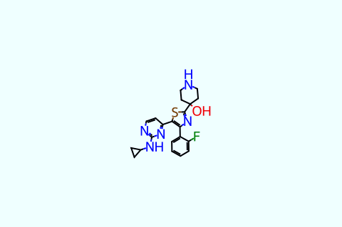 OC1(c2nc(-c3ccccc3F)c(-c3ccnc(NC4CC4)n3)s2)CCNCC1